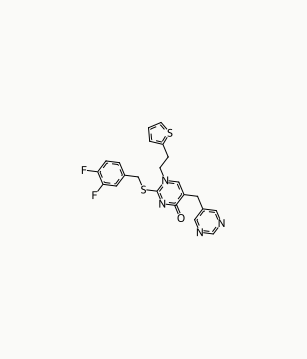 O=c1nc(SCc2ccc(F)c(F)c2)n(CCc2cccs2)cc1Cc1cncnc1